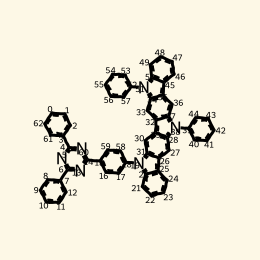 c1ccc(-c2nc(-c3ccccc3)nc(-c3ccc(-n4c5ccccc5c5cc6c(cc54)c4cc5c(cc4n6-c4ccccc4)c4ccccc4n5-c4ccccc4)cc3)n2)cc1